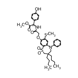 CCCCC1(CCCC)CN(c2ccccc2)c2cc(SC)c(OCC(=O)N[C@@H](C(=O)OC)c3ccc(O)cc3)cc2S(=O)(=O)C1